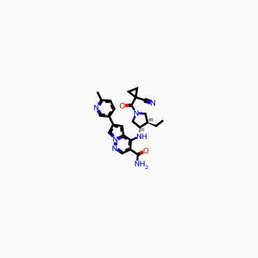 CC[C@@H]1CN(C(=O)C2(C#N)CC2)C[C@H]1Nc1c(C(N)=O)cnn2cc(-c3ccc(C)nc3)cc12